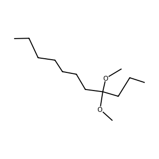 CCCCCCCC(CCC)(OC)OC